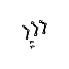 [O-]O[O-].[O-]O[O-].[O-]O[O-].[Y+3].[Y+3]